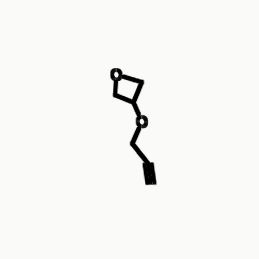 C#CCOC1COC1